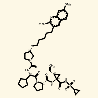 C=C[C@@H]1C[C@]1(NC(=O)[C@@H]1CCCN1C(=O)[C@@H](NC(=O)N1CC[C@H](OCCCCCc2cc3ccc(OC)cc3nc2OC)C1)C1CCCC1)C(=O)NS(=O)(=O)C1CC1